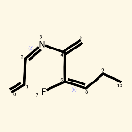 C=C/C=N\C(=C)/C(F)=C\CC